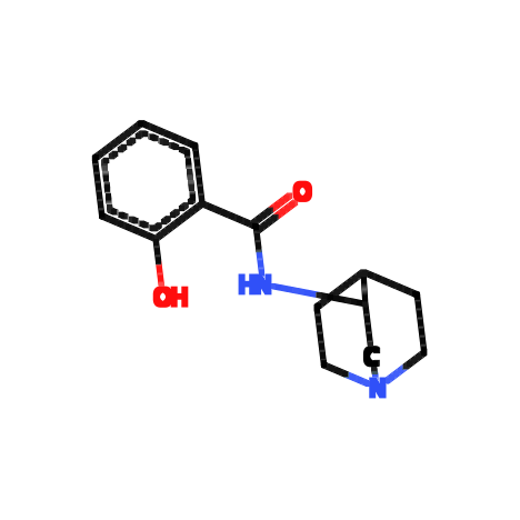 O=C(NC1CN2CCC1CC2)c1ccccc1O